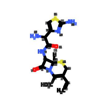 C=CC1=C(C(=O)O)N2C(=O)C(NC(=O)C(N)c3csc(N)n3)[C@H]2SC1